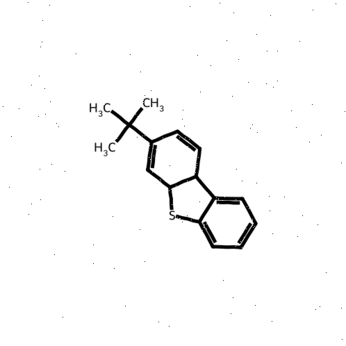 CC(C)(C)C1=CC2Sc3ccccc3C2C=C1